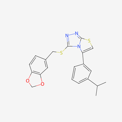 CC(C)c1cccc(-c2csc3nnc(SCc4ccc5c(c4)OCO5)n23)c1